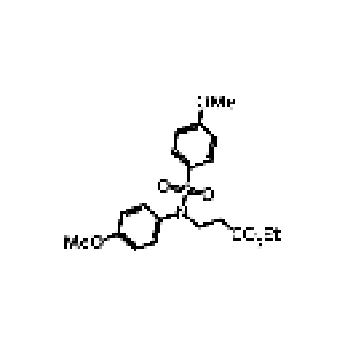 CCOC(=O)CCN(c1ccc(OC)cc1)S(=O)(=O)c1ccc(OC)cc1